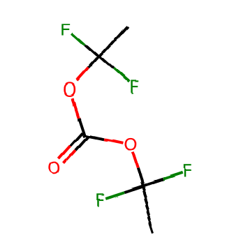 CC(F)(F)OC(=O)OC(C)(F)F